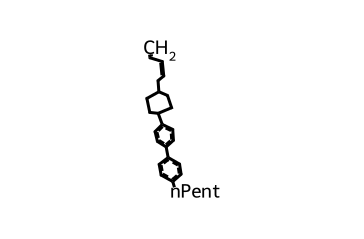 C=C/C=C\CC1CCC(c2ccc(-c3ccc(CCCCC)cc3)cc2)CC1